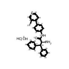 Cl.Cl.N[C@H](C(=O)Nc1ccc(-c2ccncc2F)cc1)C(c1ccccc1)c1ccccc1